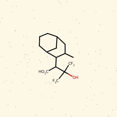 CC1CC2CCCC(C2)C1C(C(=O)O)C(O)(C(F)(F)F)C(F)(F)F